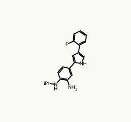 CC(C)Nc1ccc(-c2cc(-c3ccccc3F)c[nH]2)cc1N